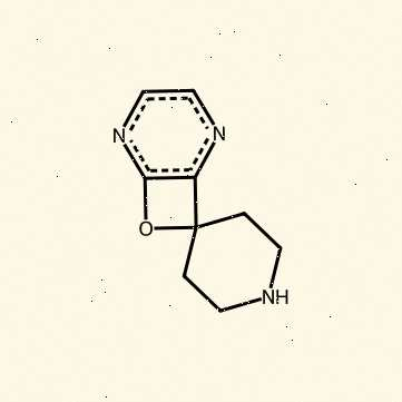 c1cnc2c(n1)OC21CCNCC1